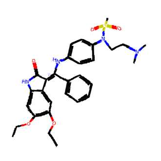 CCOc1cc2c(cc1OCC)/C(=C(/Nc1ccc(N(CCN(C)C)S(C)(=O)=O)cc1)c1ccccc1)C(=O)N2